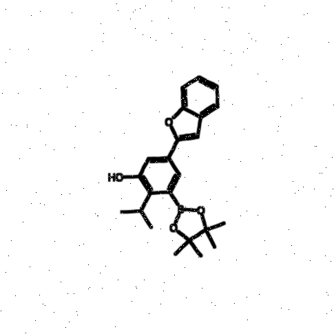 CC(C)c1c(O)cc(-c2cc3ccccc3o2)cc1B1OC(C)(C)C(C)(C)O1